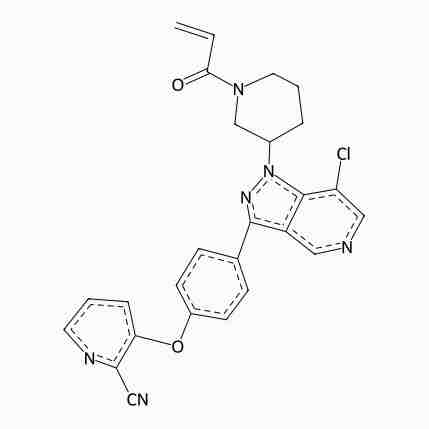 C=CC(=O)N1CCCC(n2nc(-c3ccc(Oc4cccnc4C#N)cc3)c3cncc(Cl)c32)C1